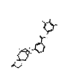 O=C1CC[C@@]2(CC3CC[C@@H](C2)[C@H]3S(=O)(=O)c2cccc(C(=O)Nc3cc(F)c(F)c(F)c3)c2)O1